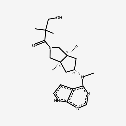 CN(c1ncnc2[nH]ccc12)[C@@H]1C[C@@]2(C)CN(C(=O)C(C)(C)CO)C[C@@]2(C)C1